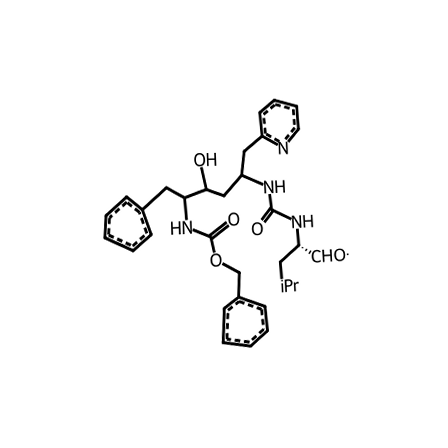 CC(C)C[C@@H]([C]=O)NC(=O)NC(Cc1ccccn1)CC(O)C(Cc1ccccc1)NC(=O)OCc1ccccc1